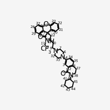 O=C1c2cc(N3CCN(CCCCC4(C(=O)NCC(F)(F)F)c5ccccc5Oc5ccccc54)CC3)ccc2CCN1C1CCCCC1